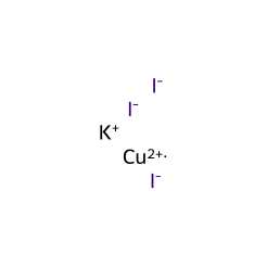 [Cu+2].[I-].[I-].[I-].[K+]